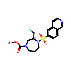 CC(C)(C)OC(=O)N1CCCN(S(=O)(=O)c2ccc3cnccc3c2)[C@H](CF)C1